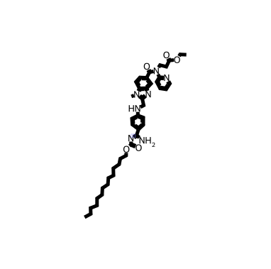 CCCCCCCCCCCCCCOC(=O)/N=C(\N)c1ccc(NCc2nc3cc(C(=O)N(CCC(=O)OCC)c4ccccn4)ccc3n2C)cc1